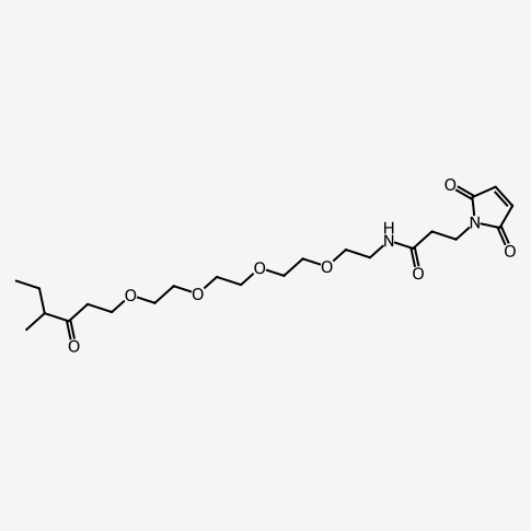 CCC(C)C(=O)CCOCCOCCOCCOCCNC(=O)CCN1C(=O)C=CC1=O